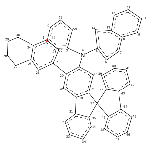 c1ccc(N(c2ccc3ccccc3c2)c2cc3c(cc2-c2ccc4c(c2)CCCC4)-c2ccccc2C32c3ccccc3-c3ccccc32)cc1